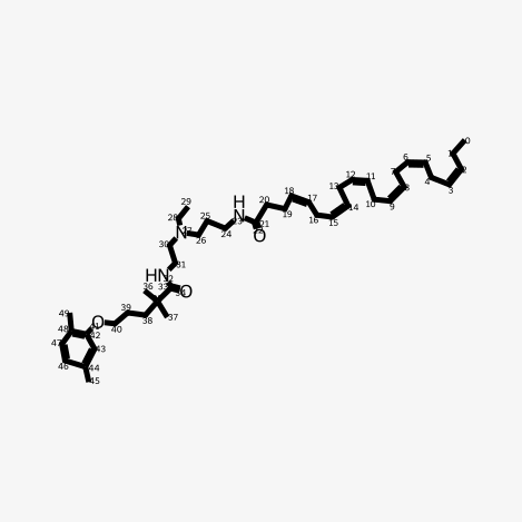 CC/C=C\C/C=C\C/C=C\C/C=C\C/C=C\C/C=C\CCC(=O)NCCCN(CC)CCNC(=O)C(C)(C)CCCOc1cc(C)ccc1C